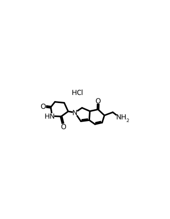 Cl.NCC1C=CC2=CN(C3CCC(=O)NC3=O)CC2C1=O